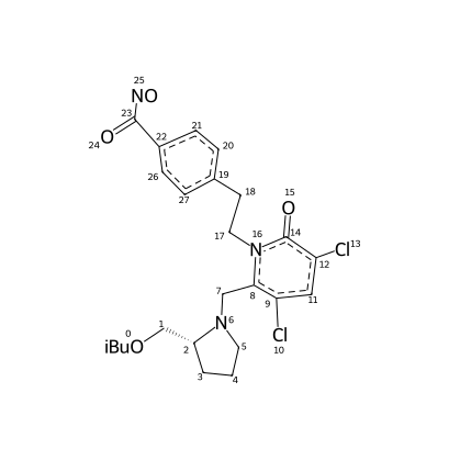 CC(C)COC[C@H]1CCCN1Cc1c(Cl)cc(Cl)c(=O)n1CCc1ccc(C(=O)N=O)cc1